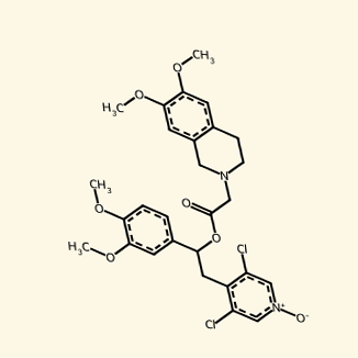 COc1ccc(C(Cc2c(Cl)c[n+]([O-])cc2Cl)OC(=O)CN2CCc3cc(OC)c(OC)cc3C2)cc1OC